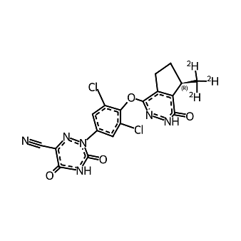 [2H]C([2H])([2H])[C@@H]1CCc2c(Oc3c(Cl)cc(-n4nc(C#N)c(=O)[nH]c4=O)cc3Cl)n[nH]c(=O)c21